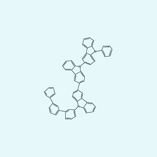 c1ccc(-c2cccc(-c3cccc(-n4c5ccccc5c5cc(-c6ccc7c(c6)c6ccccc6n7-c6ccc7c(c6)c6ccccc6n7-c6ccccc6)ccc54)c3)c2)cc1